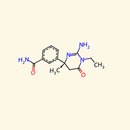 CCN1C(=O)C[C@](C)(c2cccc(C(N)=O)c2)N=C1N